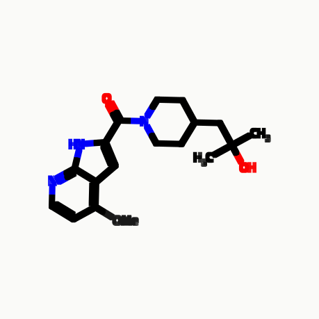 COc1ccnc2[nH]c(C(=O)N3CCC(CC(C)(C)O)CC3)cc12